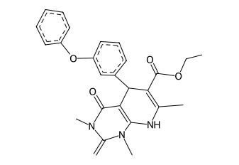 C=C1N(C)C(=O)C2=C(NC(C)=C(C(=O)OCC)C2c2cccc(Oc3ccccc3)c2)N1C